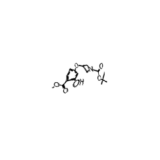 COC(=O)c1ccc(OC2CN(C(=O)OC(C)(C)C)C2)cc1O